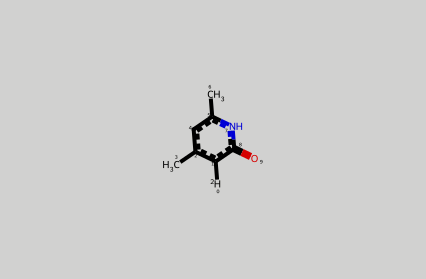 [2H]c1c(C)cc(C)[nH]c1=O